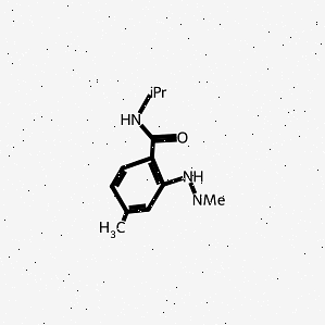 CNNc1cc(C)ccc1C(=O)NC(C)C